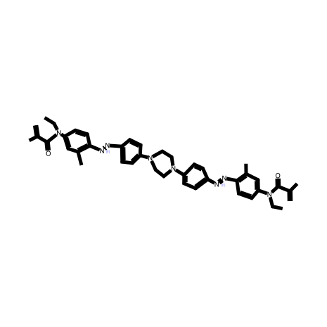 C=C(C)C(=O)N(CC)c1ccc(/N=N/c2ccc(N3CCN(c4ccc(/N=N/c5ccc(N(CC)C(=O)C(=C)C)cc5C)cc4)CC3)cc2)c(C)c1